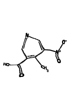 Cc1c(C(=O)O)cncc1[N+](=O)[O-]